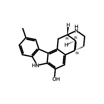 Cc1ccc2[nH]c3c(O)cc4c(c3c2c1)C[C@@H]1NCC[C@]42CCCC[C@H]12